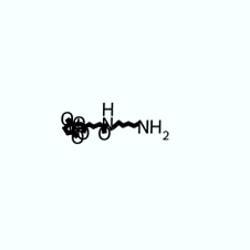 NCCCCCCNC(=O)CCCC(=O)ON1C(=O)CCC1=O